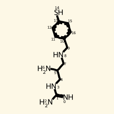 N=C(N)NCC(N)CNCc1ccc(S)cc1